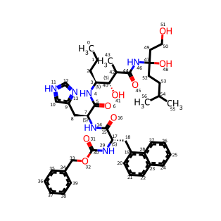 CCC[C@H](NC(=O)[C@H](Cc1c[nH]cn1)NC(=O)[C@H](Cc1cccc2ccccc12)NC(=O)OCc1ccccc1)[C@@H](O)C(C)C(=O)NC(O)(CCO)CCC(C)C